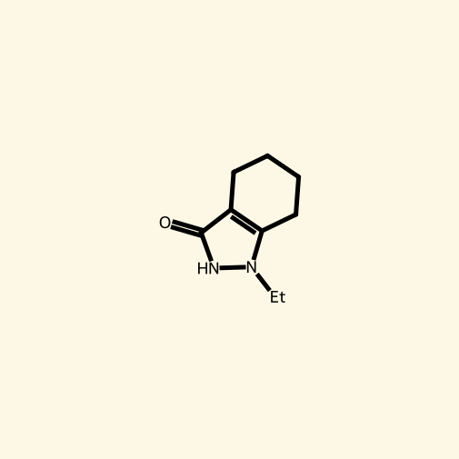 CCn1[nH]c(=O)c2c1CCCC2